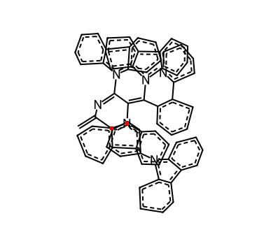 C=C(/N=C(\C(=C(\c1ccccc1-c1ccccn1)n1c2ccccc2c2ccccc21)n1c2ccccc2c2ccccc21)n1c2ccccc2c2ccccc21)c1ccc(-n2c3ccccc3c3ccccc32)cc1